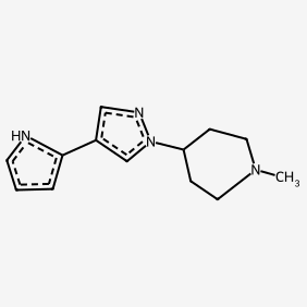 CN1CCC(n2cc(-c3ccc[nH]3)cn2)CC1